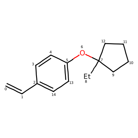 C=Cc1ccc(OC2(CC)CCCC2)cc1